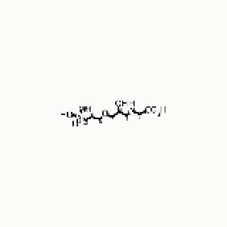 O=C(O)CNCC(O)COCCC[Si](O)(O)O